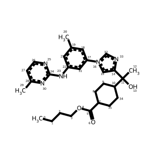 CCCCOC(=O)C1CCC(C(C)(O)c2cn(-c3cc(C)cc(Nc4nccc(C)n4)c3)cn2)CC1